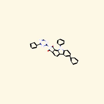 O=C1c2ccc3c4cc(-c5ccccc5)ccc4n(-c4ccccc4)c3c2C(=O)N1c1ncnc(-c2ccccc2)n1